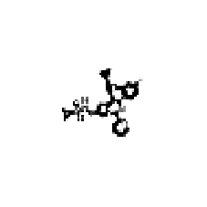 O=S(=O)(NSC1CC2=C(C#CC3CC3)[C@@H](c3ccc(F)cc3Cl)N=C(c3ccccn3)N2C1)C1CC1